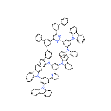 c1ccc(-c2cccc(-c3cc(-c4cc(-c5ccccc5)cc(-c5ccc6c(c5)c5ccccc5n6-c5cc(-c6cccc(-c7cc(-n8c9ccccc9c9ccccc98)cc(-n8c9ccccc9c9ccccc98)c7)n6)cc(-n6c7ccccc7c7ccccc76)c5)c4)nc(-c4cc(-n5c6ccccc6c6ccccc65)cc(-n5c6ccccc6c6ccccc65)c4)n3)c2)cc1